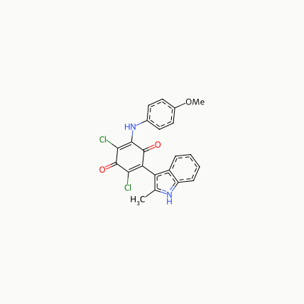 COc1ccc(NC2=C(Cl)C(=O)C(Cl)=C(c3c(C)[nH]c4ccccc34)C2=O)cc1